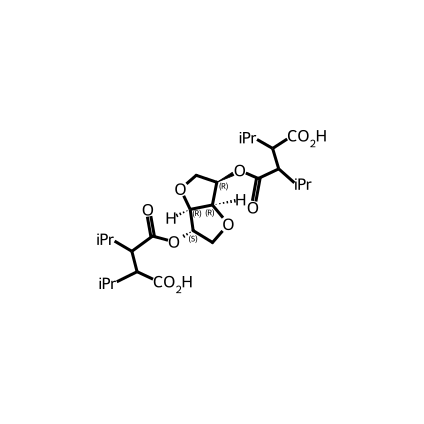 CC(C)C(C(=O)O)C(C(=O)O[C@H]1CO[C@H]2[C@@H]1OC[C@H]2OC(=O)C(C(C)C)C(C(=O)O)C(C)C)C(C)C